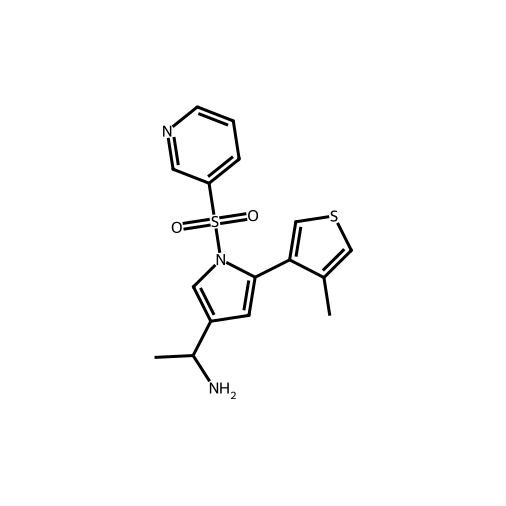 Cc1cscc1-c1cc(C(C)N)cn1S(=O)(=O)c1cccnc1